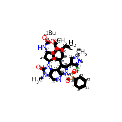 C=CCO[C@@H]1C[C@@H](n2c(=O)n(C)c3cnc4c(c(-c5ccc(C=C)cc5)c(-c5cn(C)nc5F)n4S(=O)(=O)c4ccccc4)c32)C[C@@H]1NC(=O)OC(C)(C)C